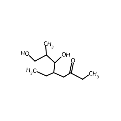 CCC(=O)CC(CC)C(O)C(C)CO